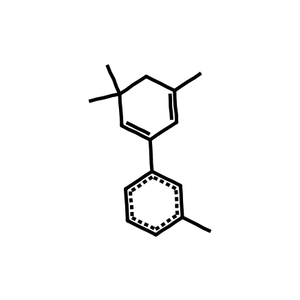 CC1=CC(c2cccc(C)c2)=CC(C)(C)C1